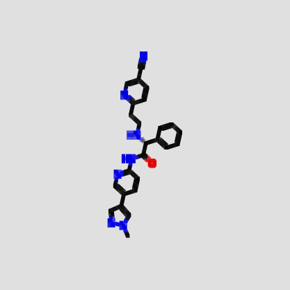 Cn1cc(-c2ccc(NC(=O)[C@H](NCCc3ccc(C#N)cn3)c3ccccc3)nc2)cn1